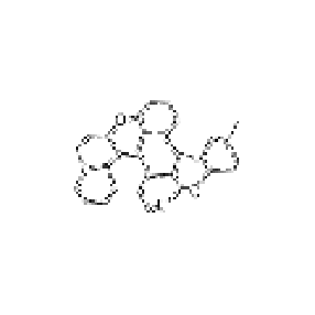 Cc1ccc2oc3cccc4c3c(c2c1)c1cccc2oc3ccc5ccccc5c3c4c21